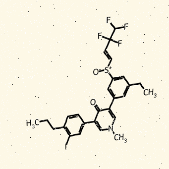 CCCc1ccc(-c2cn(C)cc(-c3cc(CC)cc([S+]([O-])C=CC(F)(F)C(F)F)c3)c2=O)cc1I